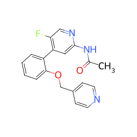 CC(=O)Nc1cc(-c2ccccc2OCc2ccncc2)c(F)cn1